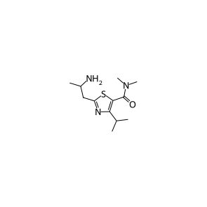 CC(N)Cc1nc(C(C)C)c(C(=O)N(C)C)s1